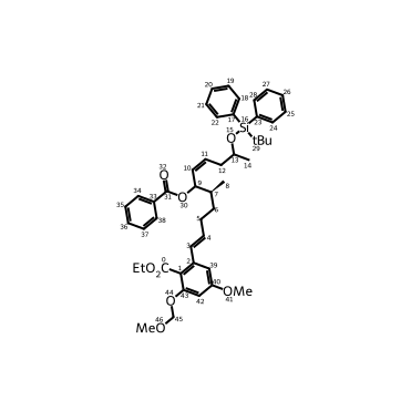 CCOC(=O)c1c(/C=C/CC[C@H](C)C(/C=C\CC(C)O[Si](c2ccccc2)(c2ccccc2)C(C)(C)C)OC(=O)c2ccccc2)cc(OC)cc1OCOC